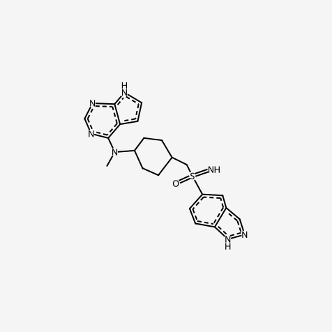 CN(c1ncnc2[nH]ccc12)C1CCC(CS(=N)(=O)c2ccc3[nH]ncc3c2)CC1